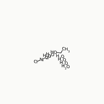 CCO.O.O.O.O.O.O.[Cl][Ni][Cl]